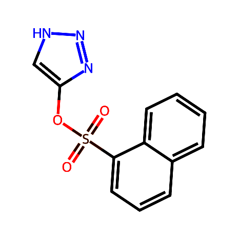 O=S(=O)(Oc1c[nH]nn1)c1cccc2ccccc12